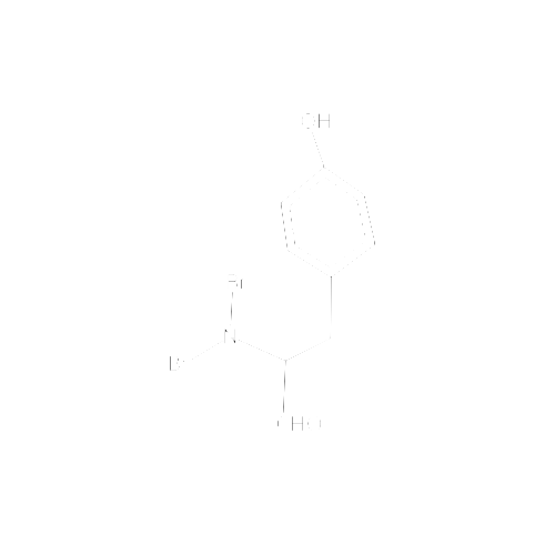 O=[C]C(Cc1ccc(O)cc1)N(Br)Br